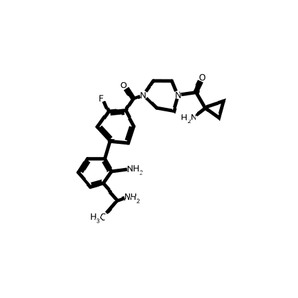 CC(N)c1cccc(-c2ccc(C(=O)N3CCN(C(=O)C4(N)CC4)CC3)c(F)c2)c1N